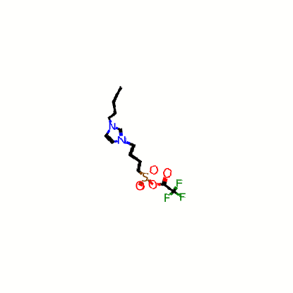 CCCCN1C=CN(CCCCS(=O)(=O)OC(=O)C(F)(F)F)C1